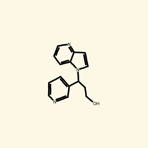 OCCC(c1cccnc1)n1ccc2ncccc21